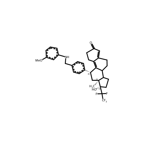 COc1cccc(NCc2ccc([C@H]3C[C@@]4(C)C(CC[C@@]4(O)C(F)(F)C(F)(F)F)C4CCC5=CC(=O)CCC5=C43)cc2)c1